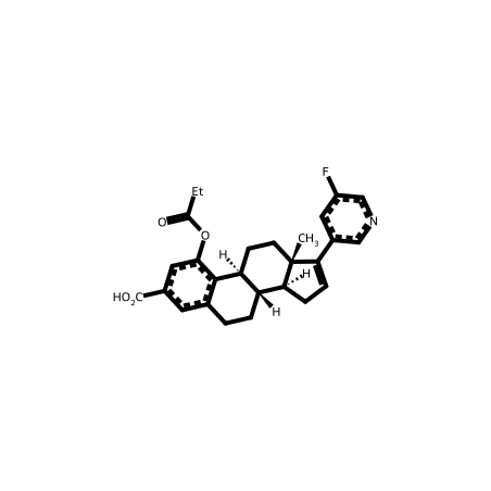 CCC(=O)Oc1cc(C(=O)O)cc2c1[C@H]1CC[C@]3(C)C(c4cncc(F)c4)=CC[C@H]3[C@@H]1CC2